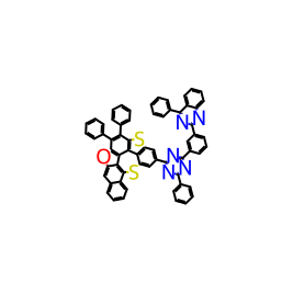 c1ccc(-c2nc(-c3cccc(-c4nc(-c5ccccc5)c5ccccc5n4)c3)nc(-c3cc4sc5c(-c6ccccc6)c(-c6ccccc6)c6oc7cc8ccccc8c8sc(c3)c4c5c6c78)n2)cc1